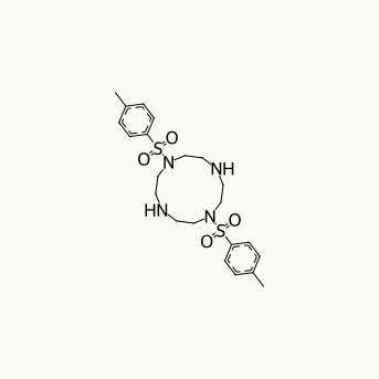 Cc1ccc(S(=O)(=O)N2CCNCCN(S(=O)(=O)c3ccc(C)cc3)CCNCC2)cc1